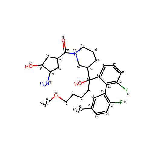 COCCCCC(O)(c1cccc(F)c1-c1cc(C)ccc1F)C1CCCN(C(=O)C2CC(N)C(O)C2)C1